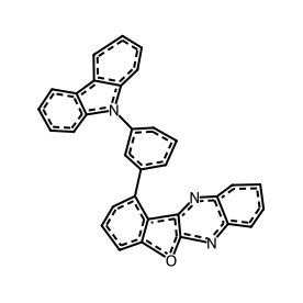 c1cc(-c2cccc3oc4nc5ccccc5nc4c23)cc(-n2c3ccccc3c3ccccc32)c1